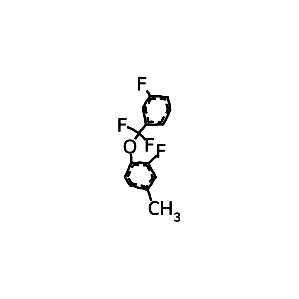 Cc1ccc(OC(F)(F)c2cccc(F)c2)c(F)c1